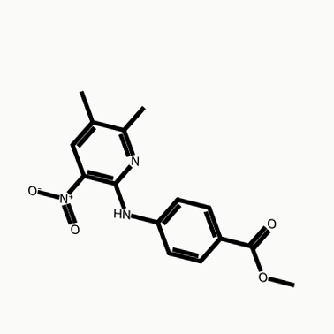 COC(=O)c1ccc(Nc2nc(C)c(C)cc2[N+](=O)[O-])cc1